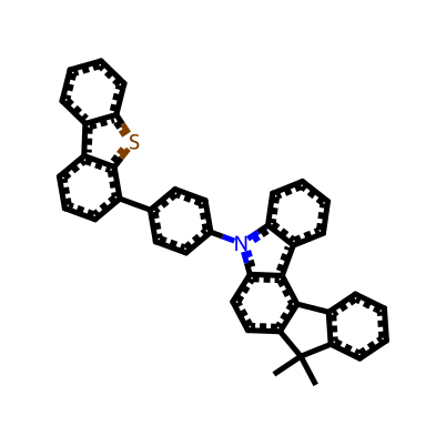 CC1(C)c2ccccc2-c2c1ccc1c2c2ccccc2n1-c1ccc(-c2cccc3c2sc2ccccc23)cc1